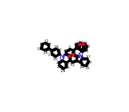 c1ccc(-c2ccc(N(c3ccc(-c4ccccc4)cc3)c3ccccc3-c3ccc4c(c3)c3ccccc3n4-c3ccccc3)cc2)cc1